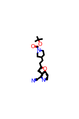 CC(C)(C)OC(=O)N1CCC(CCc2cc3c(C#N)nccc3o2)CC1